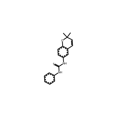 CC1(C)C=Cc2cc(NC(=S)Nc3ccccc3)ccc2O1